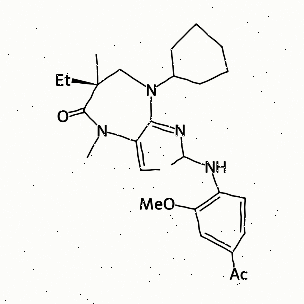 C/C=C1\C(=N/C(C)Nc2ccc(C(C)=O)cc2OC)N(C2CCCCC2)C[C@](C)(CC)C(=O)N1C